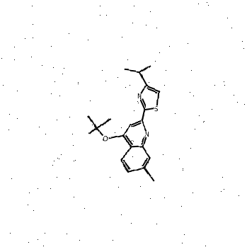 Cc1ccc2c(OC(C)(C)C)cc(-c3nc(C(C)C)cs3)nc2c1